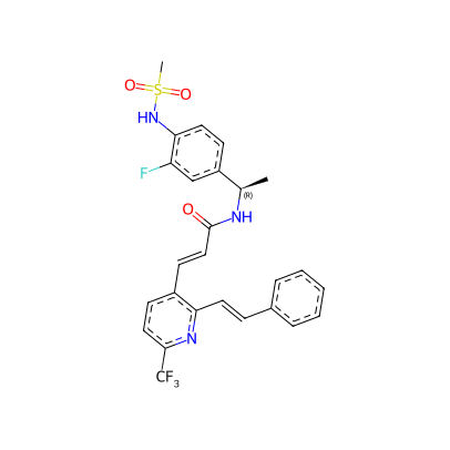 C[C@@H](NC(=O)C=Cc1ccc(C(F)(F)F)nc1C=Cc1ccccc1)c1ccc(NS(C)(=O)=O)c(F)c1